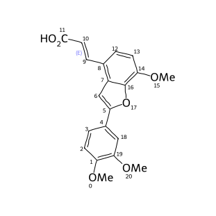 COc1ccc(-c2cc3c(/C=C/C(=O)O)ccc(OC)c3o2)cc1OC